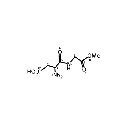 COC(=O)CNC(=O)C(N)CC(=O)O